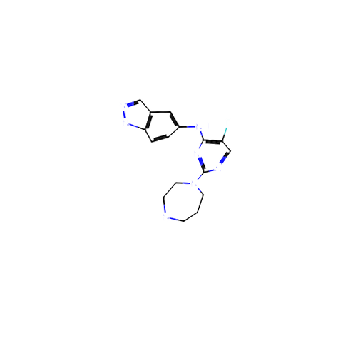 Fc1cnc(N2CCCNCC2)nc1Nc1ccc2[nH]ncc2c1